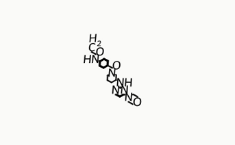 C=CC(=O)Nc1ccc(C(=O)N2CCC[C@@H](Nc3nccc(N4CCOCC4)n3)C2)cc1